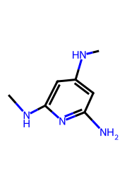 CNc1cc(N)nc(NC)c1